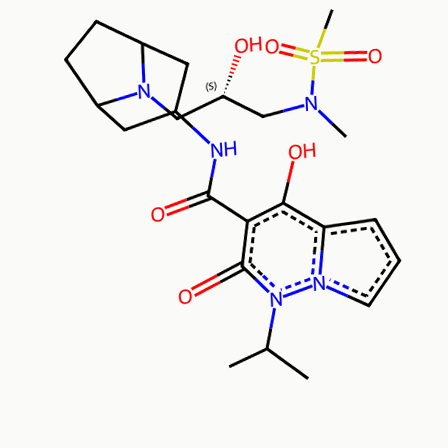 CC(C)n1c(=O)c(C(=O)NC2CC3CCC(C2)N3C[C@H](O)CN(C)S(C)(=O)=O)c(O)c2cccn21